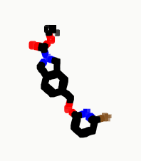 COC(=O)N1Cc2ccc(COc3cccc(Br)n3)cc2C1